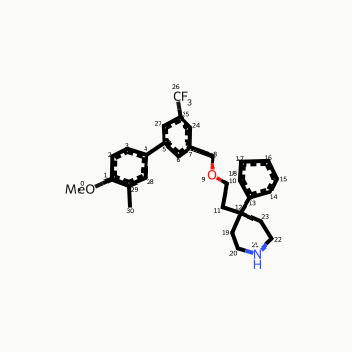 COc1ccc(-c2cc(COCCC3(c4ccccc4)CCNCC3)cc(C(F)(F)F)c2)cc1C